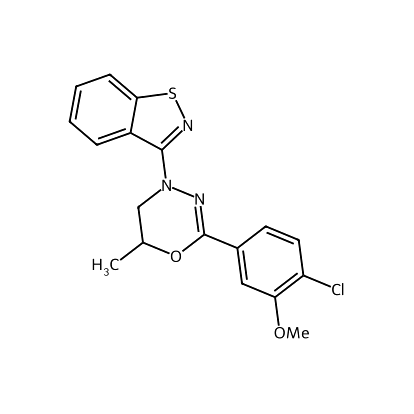 COc1cc(C2=NN(c3nsc4ccccc34)CC(C)O2)ccc1Cl